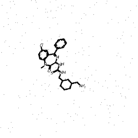 CN1C(=O)C(NC(=S)NCC2CCCC(CN)C2)N=C(c2ccccc2)c2cc(Cl)ccc21